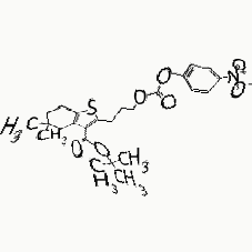 CC1(C)CCc2sc(CCCOC(=O)Oc3ccc([N+](=O)[O-])cc3)c(C(=O)OC(C)(C)C)c2C1